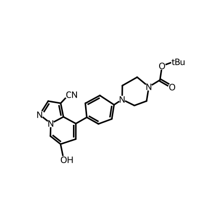 CC(C)(C)OC(=O)N1CCN(c2ccc(-c3cc(O)cn4ncc(C#N)c34)cc2)CC1